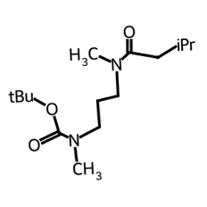 CC(C)CC(=O)N(C)CCCN(C)C(=O)OC(C)(C)C